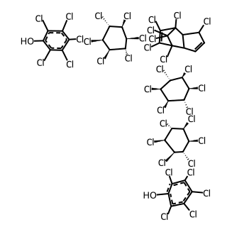 ClC1=C(Cl)C2(Cl)C3C(Cl)C=CC3C1(Cl)C2(Cl)Cl.Cl[C@H]1[C@H](Cl)[C@@H](Cl)[C@@H](Cl)[C@H](Cl)[C@H]1Cl.Cl[C@H]1[C@H](Cl)[C@@H](Cl)[C@@H](Cl)[C@H](Cl)[C@H]1Cl.Cl[C@H]1[C@H](Cl)[C@@H](Cl)[C@@H](Cl)[C@H](Cl)[C@H]1Cl.Oc1c(Cl)c(Cl)c(Cl)c(Cl)c1Cl.Oc1c(Cl)c(Cl)c(Cl)c(Cl)c1Cl